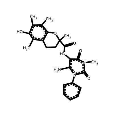 Cc1c(C)c2c(c(C)c1O)CCC(C)(C(=O)Nc1c(N)n(-c3ccccc3)c(=O)n(C)c1=O)O2